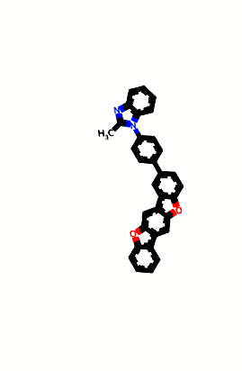 Cc1nc2ccccc2n1-c1ccc(-c2ccc3oc4cc5c(cc4c3c2)oc2ccccc25)cc1